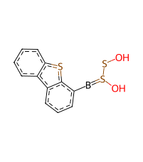 OS/S(O)=B/c1cccc2c1sc1ccccc12